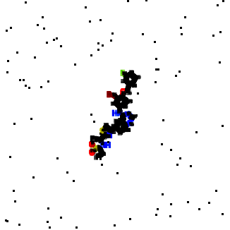 CCC(NC(CC(C)C)=S(=O)=O)c1nc(-c2ccc3ncnc(Nc4ccc(OCc5cccc(F)c5)c(Br)c4)c3c2)cs1